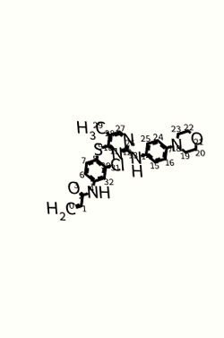 C=CC(=O)Nc1ccc(Sc2nc(Nc3ccc(N4CCOCC4)cc3)ncc2C)c(Cl)c1